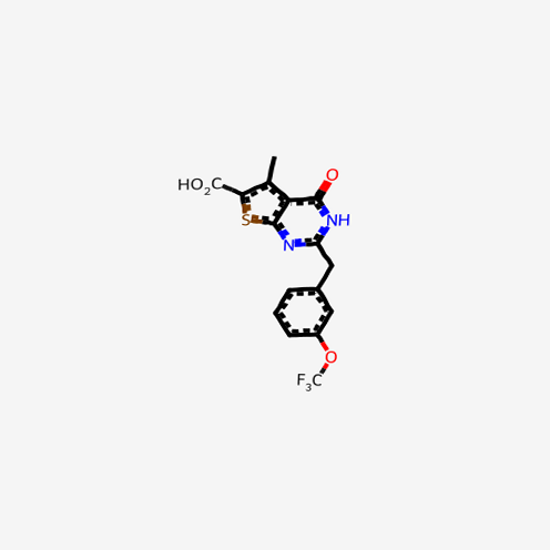 Cc1c(C(=O)O)sc2nc(Cc3cccc(OC(F)(F)F)c3)[nH]c(=O)c12